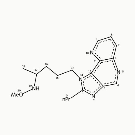 CCCc1nc2cnc3cccnc3c2n1CCCC(C)NOC